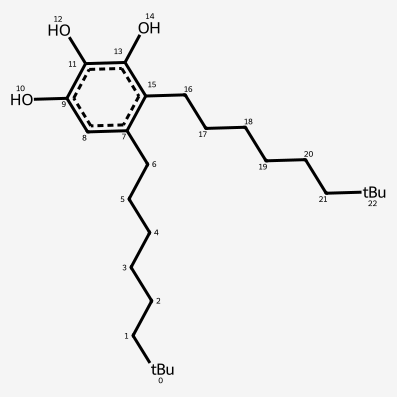 CC(C)(C)CCCCCCc1cc(O)c(O)c(O)c1CCCCCCC(C)(C)C